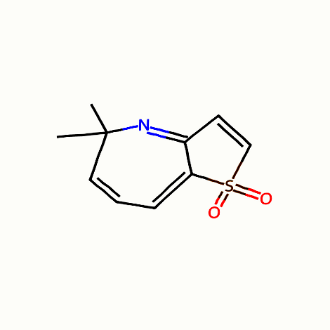 CC1(C)C=CC=C2C(=N1)C=CS2(=O)=O